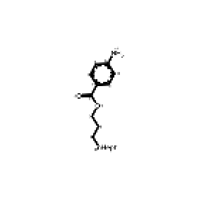 CCCCCCCCCCOC(=O)c1ccc(N)cc1